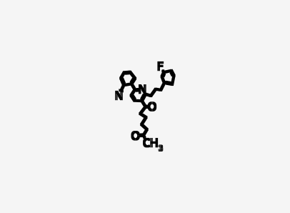 CC(=O)CCCCC(=O)c1ccc(-c2ccccc2C#N)nc1CCCc1cccc(F)c1